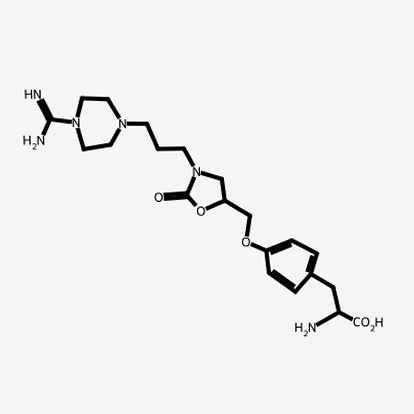 N=C(N)N1CCN(CCCN2CC(COc3ccc(CC(N)C(=O)O)cc3)OC2=O)CC1